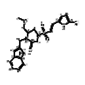 COCC1CN(S(=O)(=O)C=Cc2ccc(Cl)s2)CC(=O)N1Cc1cc2cnccc2[nH]1